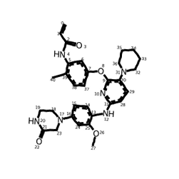 C=CC(=O)Nc1cc(Oc2nc(Nc3ccc(N4CCNC(=O)C4)cc3OC)ccc2N2CCCCC2)ccc1C